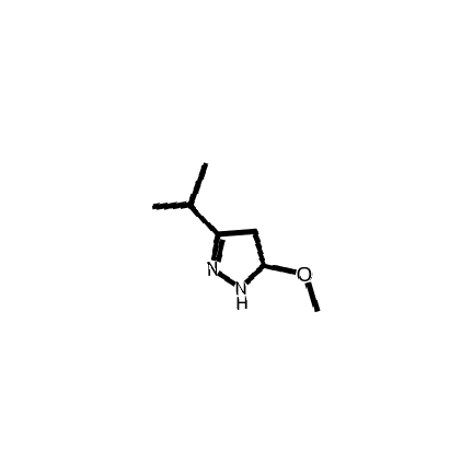 COC1CC(C(C)C)=NN1